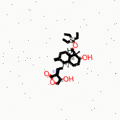 C=C1CC[C@@H]2[C@](C)(CO[Si](CC)(CC)CC)[C@H](O)CC[C@@]2(C)[C@@H]1C/C=C1/C(=O)OC[C@H]1O